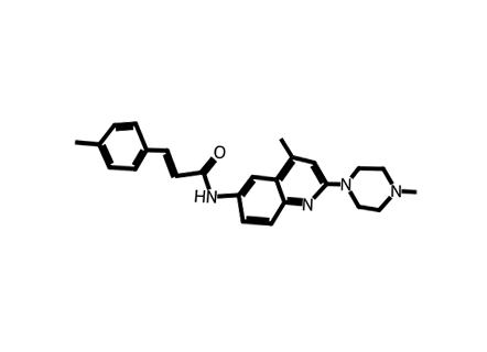 Cc1ccc(C=CC(=O)Nc2ccc3nc(N4CCN(C)CC4)cc(C)c3c2)cc1